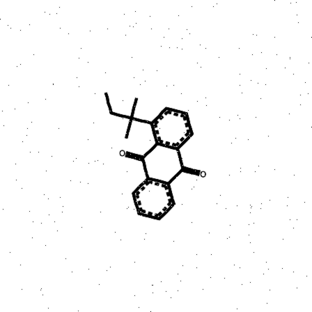 CCC(C)(C)c1cccc2c1C(=O)c1ccccc1C2=O